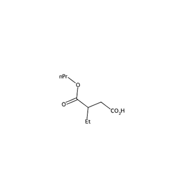 CCCOC(=O)C(CC)CC(=O)O